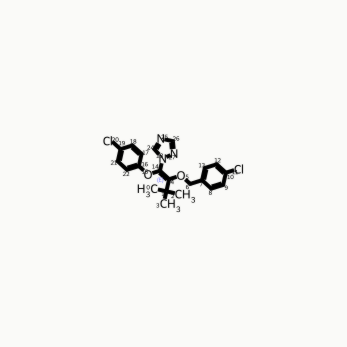 CC(C)(C)/C(OCc1ccc(Cl)cc1)=C(\Oc1ccc(Cl)cc1)n1cncn1